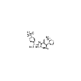 CCS(=O)(=O)c1ccc(C(O)c2nc3c(F)c(-c4ccccc4OC(F)(F)F)c(F)cc3[nH]2)cc1